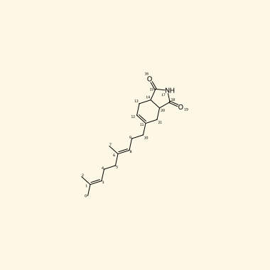 CC(C)=CCC/C(C)=C/CCC1=CCC2C(=O)NC(=O)C2C1